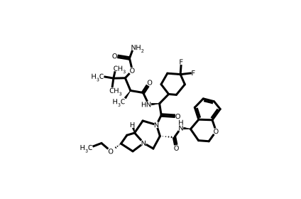 CCO[C@@H]1C[C@@H]2CN(C(=O)[C@@H](NC(=O)[C@@H](C)C(OC(N)=O)C(C)(C)C)C3CCC(F)(F)CC3)[C@H](C(=O)N[C@@H]3CCOc4ccccc43)CN2C1